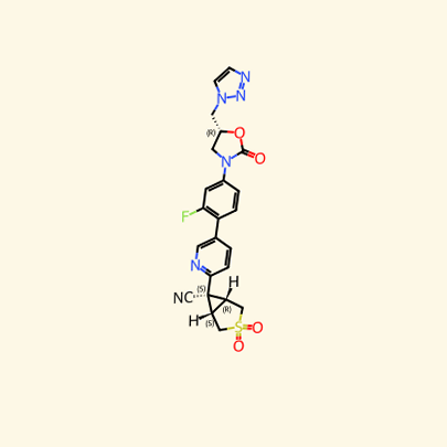 N#C[C@]1(c2ccc(-c3ccc(N4C[C@H](Cn5ccnn5)OC4=O)cc3F)cn2)[C@@H]2CS(=O)(=O)C[C@@H]21